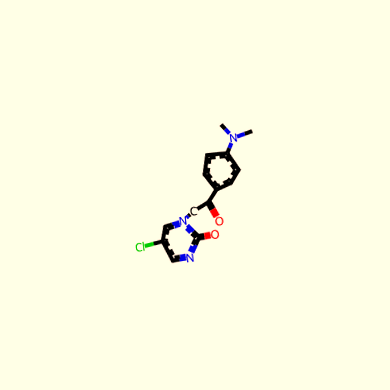 CN(C)c1ccc(C(=O)Cn2cc(Cl)cnc2=O)cc1